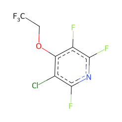 Fc1nc(F)c(Cl)c(OCC(F)(F)F)c1F